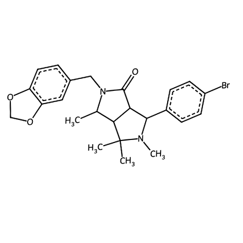 CC1C2C(C(=O)N1Cc1ccc3c(c1)OCO3)C(c1ccc(Br)cc1)N(C)C2(C)C